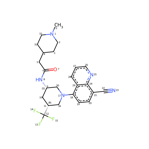 CN1CCC(CC(=O)N[C@H]2C[C@@H](C(F)(F)F)CN(c3ccc(C#N)c4ncccc34)C2)CC1